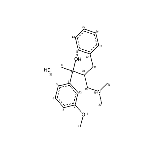 COc1cccc(C(C)(O)C(Cc2ccccc2)CN(C)C)c1.Cl